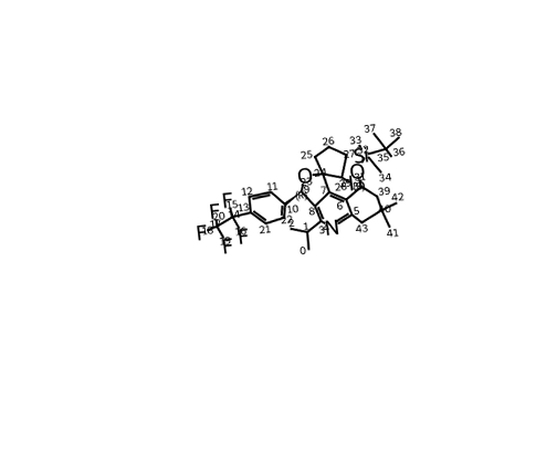 CC(C)c1nc2c(c3c1[C@@H](c1ccc(C(F)(F)C(F)(F)F)cc1)OC31CCCC1I)[C@@H](O[Si](C)(C)C(C)(C)C)CC(C)(C)C2